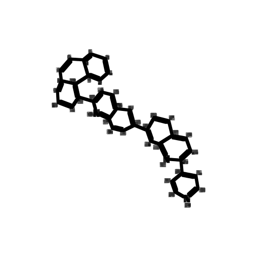 c1ccc2c(c1)ccc1cccc(-c3ccc4cc(-c5ccc6ccc(-c7ccncc7)nc6c5)ccc4n3)c12